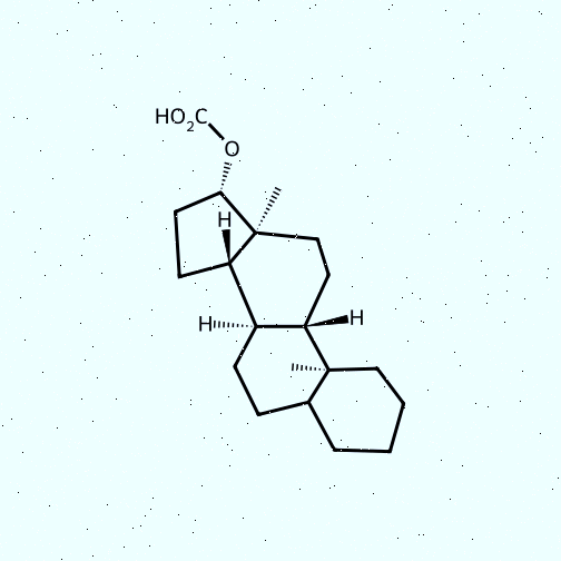 C[C@]12CC[C@H]3[C@@H](CCC4CCCC[C@@]43C)[C@@H]1CC[C@@H]2OC(=O)O